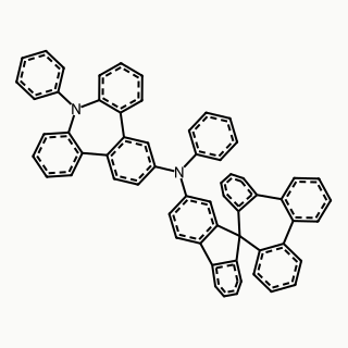 c1ccc(N(c2ccc3c(c2)-c2ccccc2N(c2ccccc2)c2ccccc2-3)c2ccc3c(c2)C2(c4ccccc4-c4ccccc4-c4ccccc42)c2ccccc2-3)cc1